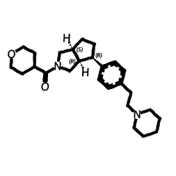 O=C(C1CCOCC1)N1C[C@H]2CC[C@@H](c3ccc(CCN4CCCCC4)cc3)[C@H]2C1